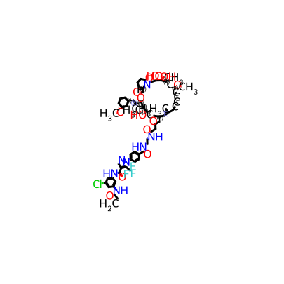 C=CC(=O)Nc1cc(Cl)cc(NC(=O)c2cnn(-c3ccc(C(=O)NCCNC(=O)CCC[C@@H]4/C=C(\C)CCCCC[C@@H](OC)C[C@@H](C)C(O)(O)C(=O)C(=O)N5CCCC[C@H]5C(=O)O[C@H](/C(C)=C/[C@@H]5CCC[C@H](OC)C5)[C@H](C)[C@@H](O)CC4=O)cc3)c2C(F)(F)F)c1